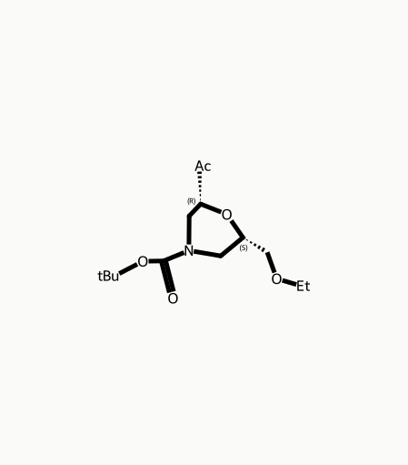 CCOC[C@@H]1CN(C(=O)OC(C)(C)C)C[C@H](C(C)=O)O1